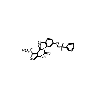 CC(C)(COc1ccc(Cl)c(-n2c(=O)[nH]c3csc(C(=O)O)c3c2=O)c1)c1ccccc1